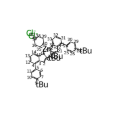 CC(C)(C)C1=Cc2c(-c3ccc(C(C)(C)C)cc3)cccc2[CH]1[Zr+2]1([CH]2C(C(C)(C)C)=Cc3c(-c4ccc(C(C)(C)C)cc4)cccc32)[CH]2CCCC[CH]21.[Cl-].[Cl-]